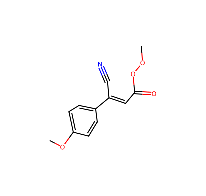 COOC(=O)C=C(C#N)c1ccc(OC)cc1